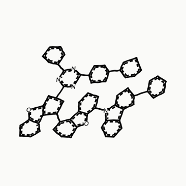 c1ccc(-c2ccc(-c3nc(-c4ccccc4)nc(-c4cc(-c5cccc6oc7c(-n8c9ccccc9c9cc(-c%10ccccc%10)ccc98)cccc7c56)c5c(c4)oc4ccccc45)n3)cc2)cc1